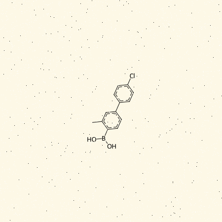 Cc1cc(-c2ccc(Cl)cc2)ccc1B(O)O